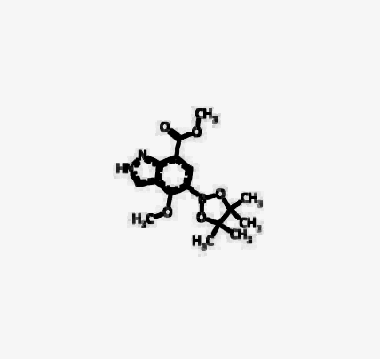 COC(=O)c1cc(B2OC(C)(C)C(C)(C)O2)c(OC)c2c[nH]nc12